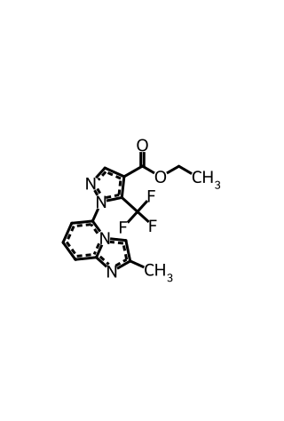 CCOC(=O)c1cnn(-c2cccc3nc(C)cn23)c1C(F)(F)F